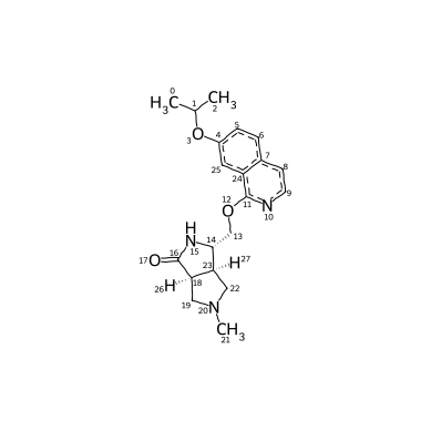 CC(C)Oc1ccc2ccnc(OC[C@H]3NC(=O)[C@@H]4CN(C)C[C@H]34)c2c1